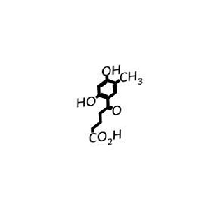 Cc1cc(C(=O)CCCC(=O)O)c(O)cc1O